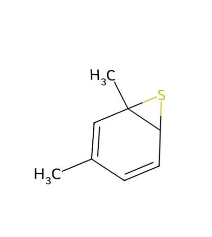 CC1=CC2(C)SC2C=C1